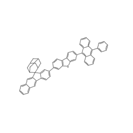 c1ccc(-c2c3ccccc3c(-c3ccc4c(c3)sc3cc(-c5ccc6c(c5)C5(c7cc8ccccc8cc7-6)C6CC7CC(C6)CC5C7)ccc34)c3ccccc23)cc1